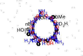 CCCC[C@H]1C(=O)N(C)[C@@H](CCCC)C(=O)N[C@@H](CC(C)C)C(=O)N[C@H](C(=O)NCC(N)=O)CSCC(=O)N[C@@H](Cc2ccc(OC)cc2)C(=O)N(C)[C@@H](C)C(=O)N[C@@H](CC(=O)O)C(=O)N2CCC[C@H]2C(=O)N[C@@H](Cc2cnc[nH]2)C(=O)N[C@@H](CCCCN)C(=O)N2C[C@H](O)C[C@@H]2C(=O)N[C@@H](Cc2c[nH]c3ccccc23)C(=O)N[C@@H](CCCCN)C(=O)N[C@@H](Cc2cn(CC(=O)O)c3ccccc23)C(=O)N1C